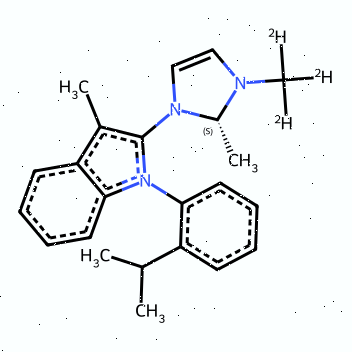 [2H]C([2H])([2H])N1C=CN(c2c(C)c3ccccc3n2-c2ccccc2C(C)C)[C@H]1C